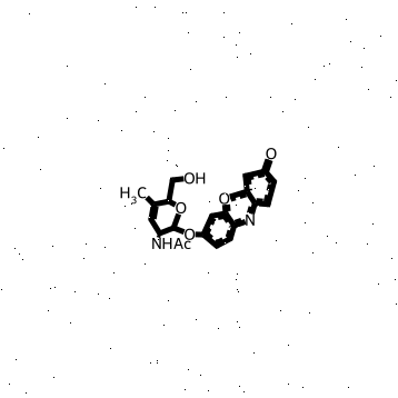 CC(=O)N[C@H]1C=C(C)C(CO)OC1Oc1ccc2nc3ccc(=O)cc-3oc2c1